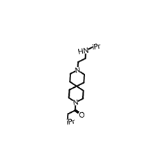 CC(C)CC(=O)N1CCC2(CCN(CCNC(C)C)CC2)CC1